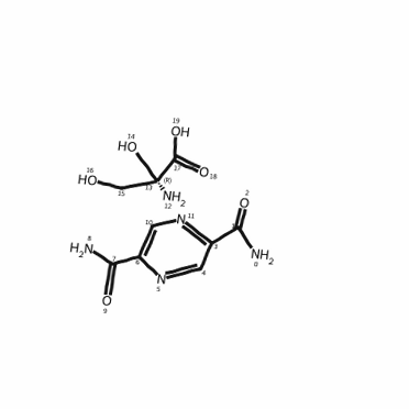 NC(=O)c1cnc(C(N)=O)cn1.N[C@@](O)(CO)C(=O)O